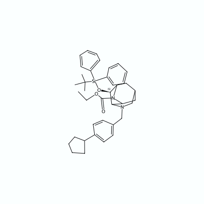 CCOC(=O)N1C2CC3CC1[C@H](O[Si](c1ccccc1)(c1ccccc1)C(C)(C)C)C2N(Cc1ccc(C2CCCC2)cc1)C3